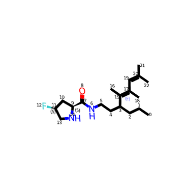 CCCC(CCNC(=O)[C@@H]1C[C@H](F)CN1)/C(C)=C(\C)C=C(C)C